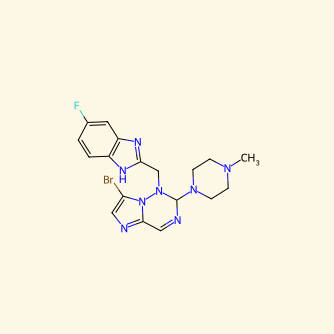 CN1CCN(C2N=Cc3ncc(Br)n3N2Cc2nc3cc(F)ccc3[nH]2)CC1